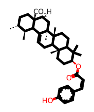 C[C@@H]1CC[C@]2(C(=O)O)CC[C@]3(C)C(=CCC4[C@@]5(C)CC[C@H](OC(=O)/C=C\c6ccc(O)cc6)C(C)(C)C5CC[C@]43C)C2[C@H]1C